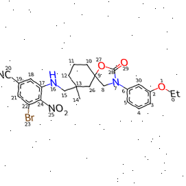 CCOc1cccc(N2CC3(CCCC(C)(CNc4cc(C#N)cc(Br)c4[N+](=O)[O-])C3)OC2=O)c1